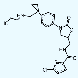 O=C(NCC1CN(c2ccc(C3(CNCCO)CC3)cc2)C(=O)O1)c1ccc(Cl)s1